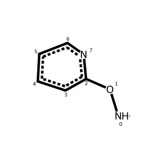 [NH]Oc1ccccn1